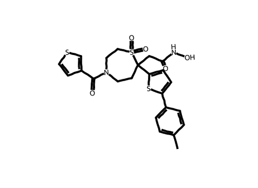 Cc1ccc(-c2ccc(C3(CC(=O)NO)CCN(C(=O)c4ccsc4)CCS3(=O)=O)s2)cc1